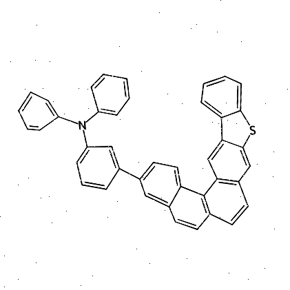 c1ccc(N(c2ccccc2)c2cccc(-c3ccc4c(ccc5ccc6cc7sc8ccccc8c7cc6c54)c3)c2)cc1